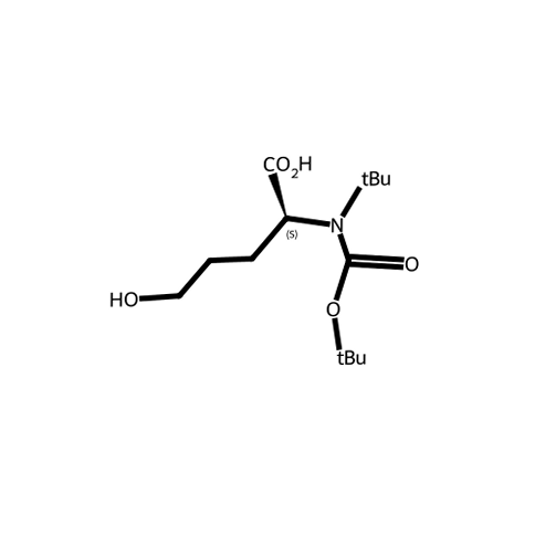 CC(C)(C)OC(=O)N([C@@H](CCCO)C(=O)O)C(C)(C)C